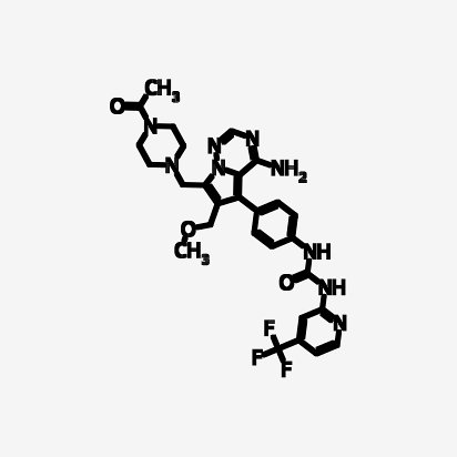 COCc1c(-c2ccc(NC(=O)Nc3cc(C(F)(F)F)ccn3)cc2)c2c(N)ncnn2c1CN1CCN(C(C)=O)CC1